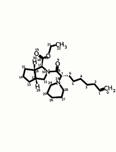 C=CCCCCC[C@@H](C(=O)N1C[C@@H]2CCC[C@@H]2[C@H]1C(=O)OCC)N1CCCCC1